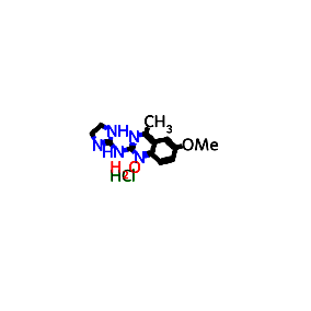 COc1ccc2nc(NC3=NCCN3)nc(C)c2c1.Cl.O